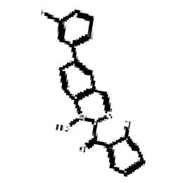 O=C(c1ccccc1Cl)N1N=Cc2cc(-c3cccc(F)c3)ccc2B1O